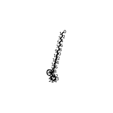 CCCCCCCCCCCCCCCCCCCC(=O)c1ccccc1